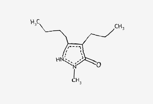 CCCc1[nH]n(C)c(=O)c1CCC